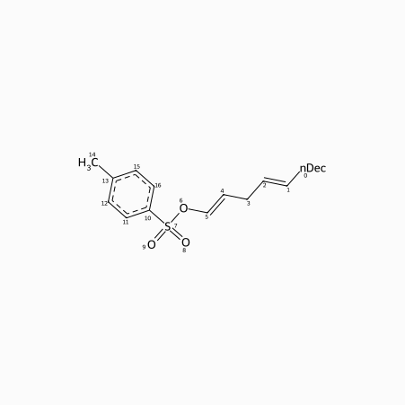 CCCCCCCCCCC=CCC=COS(=O)(=O)c1ccc(C)cc1